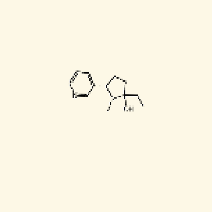 CCC1(O)CC[C@@H](c2cccnc2)N1C